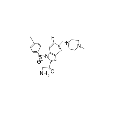 Cc1ccc([S@+]([O-])n2c(C(=O)CN)cc3cc(CN4CCN(C)CC4)c(F)cc32)cc1